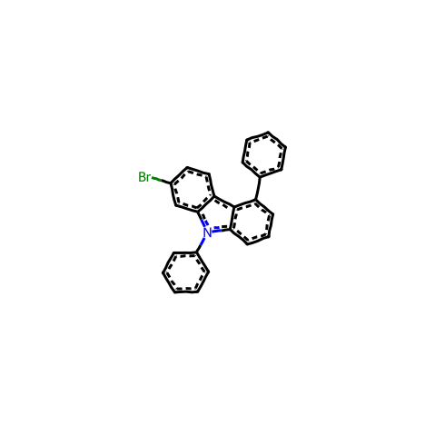 Brc1ccc2c3c(-c4ccccc4)cccc3n(-c3ccccc3)c2c1